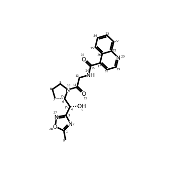 Cc1nc([C@@H](O)[C@@H]2CCCN2C(=O)CNC(=O)c2ccnc3ccccc23)no1